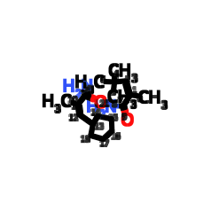 CC(=CC(C)(C)C)C(N)=O.CC(=CC1CCCCC1)C(N)=O